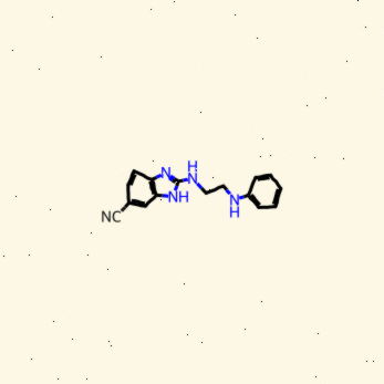 N#Cc1ccc2nc(NCCNc3ccccc3)[nH]c2c1